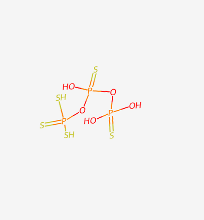 OP(O)(=S)OP(O)(=S)OP(=S)(S)S